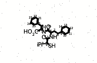 CC(C)[C@H](S)C(=O)NC(CCc1ccccc1)C(=O)NC(Cc1ccccc1)C(=O)O